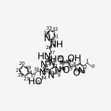 CCc1cc([C@H]2O[C@@H](n3cnc4c(N(CO)CCc5ccccc5)nc(NCCNc5ccccn5)nc43)[C@H](O)[C@@H]2O)on1